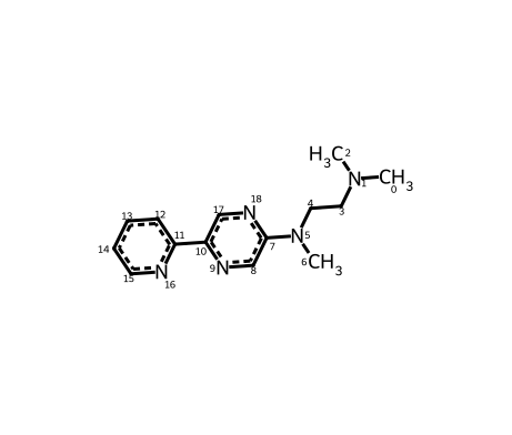 CN(C)CCN(C)c1cnc(-c2ccccn2)cn1